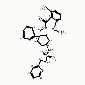 COc1cccc(O)c1C(=O)NC[C@]1(c2ccccc2)CC[C@H](NS(=O)(=O)NCc2ccccn2)CC1